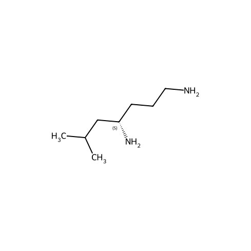 CC(C)C[C@@H](N)CCCN